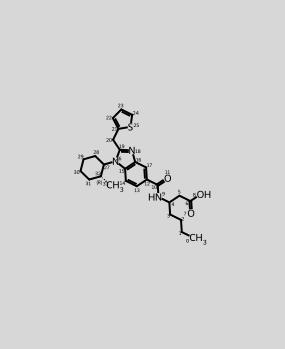 CCCCC(CC(=O)O)NC(=O)c1ccc2c(c1)nc(Cc1cccs1)n2C1CCCC[C@H]1C